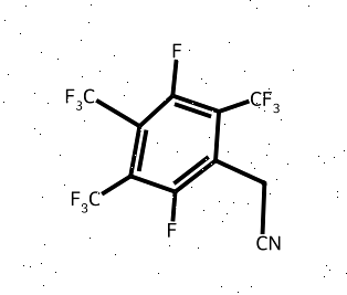 N#CCc1c(F)c(C(F)(F)F)c(C(F)(F)F)c(F)c1C(F)(F)F